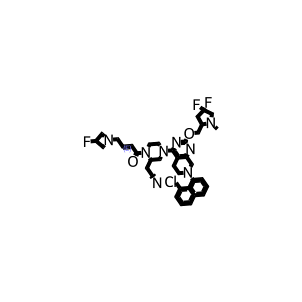 CN1CC(F)(F)CC1COc1nc2c(c(N3CCN(C(=O)/C=C/CN4CC(F)C4)C(CC#N)C3)n1)CCN(c1cccc3cccc(Cl)c13)C2